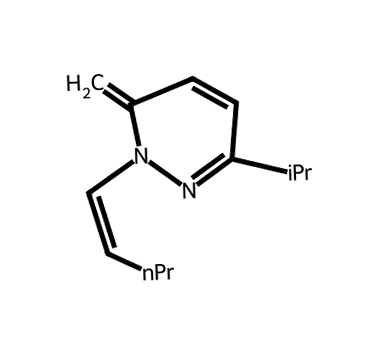 C=C1C=CC(C(C)C)=NN1/C=C\CCC